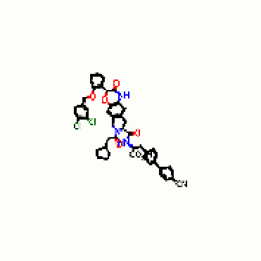 N#Cc1ccc(-c2ccc(CC(NC(=O)[C@@H]3Cc4cc5c(cc4CN3C(=O)CC3CCCC3)O[C@@H](c3ccccc3OCc3ccc(Cl)c(Cl)c3)C(=O)N5)C(=O)O)cc2)cc1